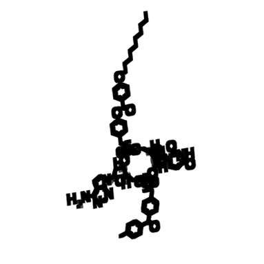 CCCCCCCCCCOc1ccc(C(=O)Oc2ccc(CSP3(=O)OC[C@H]4O[C@@H](n5ccc(=O)[nH]c5=O)[C@H](OP(=O)(SCc5ccc(C(=O)c6ccc(C)cc6)cc5)OC[C@H]5O[C@@H](n6ccc7c(N)ncnc76)C[C@@H]5O3)[C@@H]4OC)cc2)cc1